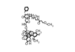 C=Nc1cc(F)c(C)c2c1C(=C1CNC(=O)C3=C1[C@@](O)(CC)C(=O)OC3)[C@@H](NC(=O)COCNC(=O)CNC(=O)[C@H](Cc1ccccc1)NC(=O)CNC(=O)CNC(=O)CCOCC)CC2